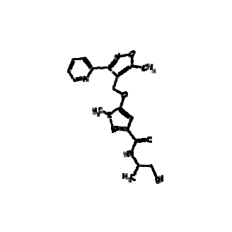 Cc1onc(-c2ccccn2)c1COc1cc(C(=O)NC(C)CO)nn1C